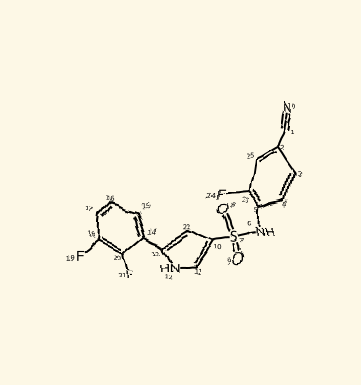 N#Cc1ccc(NS(=O)(=O)c2c[nH]c(-c3cccc(F)c3F)c2)c(F)c1